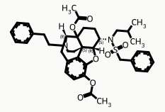 CC(=O)Oc1ccc2c3c1O[C@H]1[C@@H](N(CC(C)C)S(=O)(=O)Cc4ccccc4)CCC4(OC(C)=O)[C@@H](C2)N(CCc2ccccc2)CC[C@]314